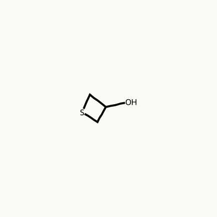 O[C]1CSC1